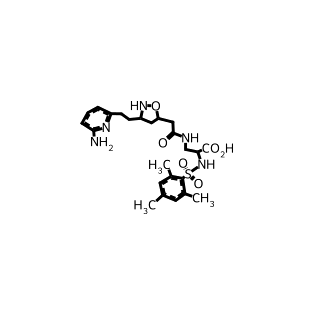 Cc1cc(C)c(S(=O)(=O)NC(CNC(=O)CC2CC(CCc3cccc(N)n3)NO2)C(=O)O)c(C)c1